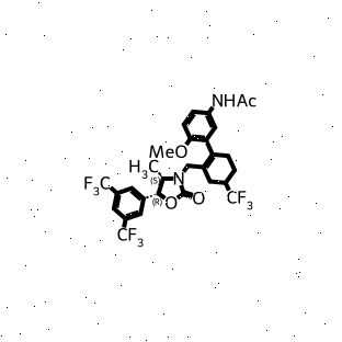 COc1ccc(NC(C)=O)cc1C1=C(CN2C(=O)O[C@H](c3cc(C(F)(F)F)cc(C(F)(F)F)c3)[C@@H]2C)CC(C(F)(F)F)CC1